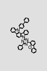 c1ccc(-c2ccc(-n3c4ccccc4c4ccc5c(c6ccccc6n5-c5nc(-c6ccccc6)nc(-c6cccc7c6oc6ccccc67)n5)c43)cc2)cc1